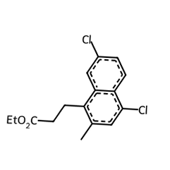 CCOC(=O)CCc1c(C)cc(Cl)c2ccc(Cl)cc12